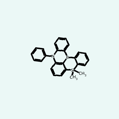 C[Si]1(C)c2ccccc2B2c3ccccc3N(c3ccccc3)c3cccc1c32